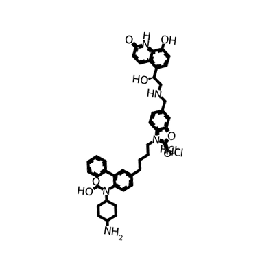 Cl.Cl.NC1CCC(N(C(=O)O)c2ccc(CCCCn3c(=O)oc4cc(CNC[C@@H](O)c5ccc(O)c6[nH]c(=O)ccc56)ccc43)cc2-c2ccccc2)CC1